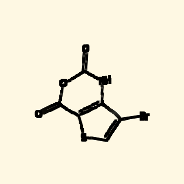 O=c1[nH]c2c(Br)csc2c(=O)o1